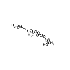 C=CC(=O)OCCCCCCOc1ccc2c(c1)C(C)c1cc(OC(=O)c3ccc(OCCOC(=O)C(=C)CO)cc3)ccc1-2